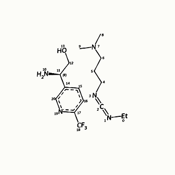 CCN=C=NCCCN(C)C.N[C@@H](CO)c1ccc(C(F)(F)F)nc1